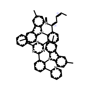 C=N/C(=C\C=C/C)c1cccc(-c2nc(-c3ccccc3)nc(-c3cccc(-c4ccccn4)c3-n3c4ccc(C)cc4c4cc(C)ccc43)n2)c1-n1c2ccc(C)cc2c2cc(C)ccc21